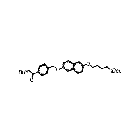 CCCCCCCCCCCCCCOc1ccc2cc(OCc3ccc(C(=O)C[C@H](C)CC)cc3)ccc2c1